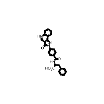 O=C(NC(Cc1ccccc1)C(=O)O)c1ccc(-n2nc3c4ccccc4[nH]cc-3c2=O)cc1